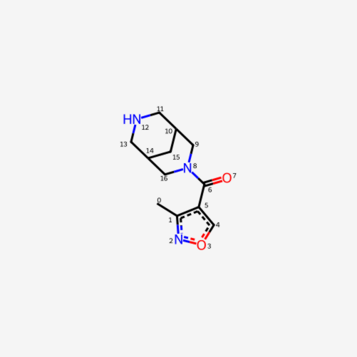 Cc1nocc1C(=O)N1CC2CNCC(C2)C1